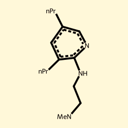 CCCc1cnc(NCCNC)c(CCC)c1